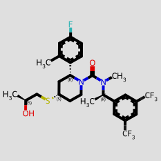 Cc1cc(F)ccc1[C@H]1C[C@@H](SC[C@H](C)O)CCN1C(=O)N(C)[C@H](C)c1cc(C(F)(F)F)cc(C(F)(F)F)c1